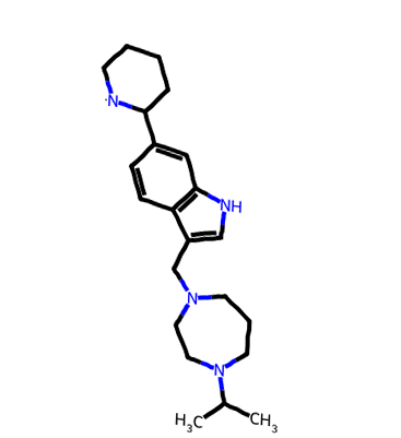 CC(C)N1CCCN(Cc2c[nH]c3cc(C4CCCC[N]4)ccc23)CC1